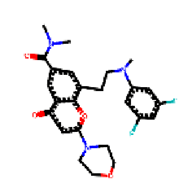 CN(C)C(=O)c1cc(CCN(C)c2cc(F)cc(F)c2)c2oc(N3CCOCC3)cc(=O)c2c1